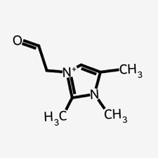 Cc1c[n+](CC=O)c(C)n1C